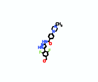 CN1CCN(c2ccc(C(=O)Nc3cc(-c4c(F)cc(C=O)cc4F)[nH]n3)cc2)CC1